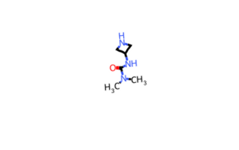 CN(C)C(=O)NC1CNC1